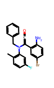 Cc1ccc(F)cc1N(Cc1ccccc1)C(=C=O)c1cc(Br)ccc1N